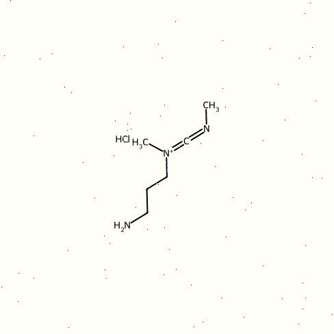 CN=C=[N+](C)CCCN.Cl